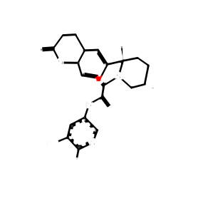 Cc1cc(NC(=O)C(=O)N2C[C@@H](C)CC[C@@]2(C)C2=CC3CCC(=O)NC3C=C2)cnc1C